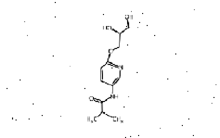 CC(C)C(=O)Nc1ccc(OC[C@@H](O)CO)nc1